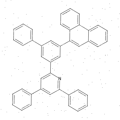 c1ccc(-c2cc(-c3cc(-c4ccccc4)cc(-c4ccccc4)n3)cc(-c3cc4ccccc4c4ccccc34)c2)cc1